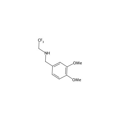 COc1ccc(CNCC(F)(F)F)cc1OC